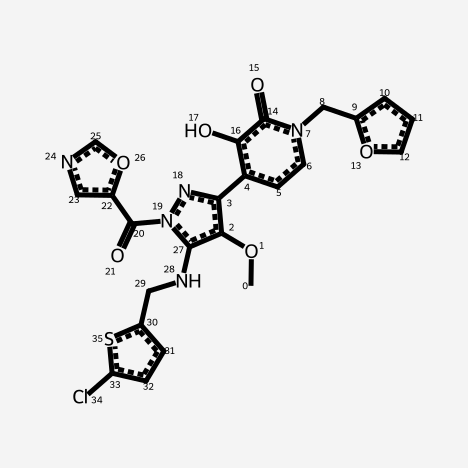 COc1c(-c2ccn(Cc3ccco3)c(=O)c2O)nn(C(=O)c2cnco2)c1NCc1ccc(Cl)s1